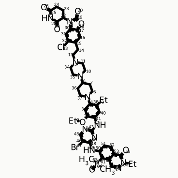 CCOc1cc(N2CCC(N3CCN(CCc4cc5oc(=O)n(C6CCC(=O)NC6=O)c5cc4Cl)CC3)CC2)c(CC)cc1Nc1ncc(Br)c(Nc2ccc3c(=O)n(CC)ncc3c2P(C)(C)=O)n1